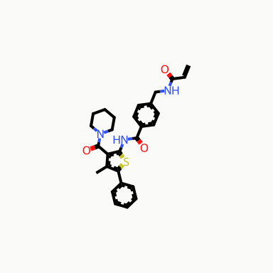 C=CC(=O)NCc1ccc(C(=O)Nc2sc(-c3ccccc3)c(C)c2C(=O)N2CCCCC2)cc1